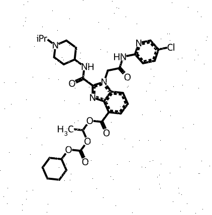 CC(OC(=O)OC1CCCCC1)OC(=O)c1cccc2c1nc(C(=O)NC1CCN(C(C)C)CC1)n2CC(=O)Nc1ccc(Cl)cn1